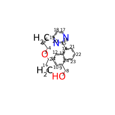 C=CCOCC=C.OCc1cccc2c(-c3ncccn3)cccc12